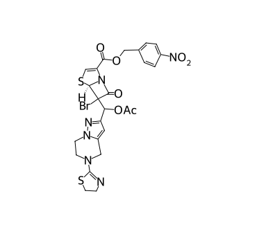 CC(=O)OC(c1cc2n(n1)CCN(C1=NCCS1)C2)C1(Br)C(=O)N2C(C(=O)OCc3ccc([N+](=O)[O-])cc3)=CS[C@@H]21